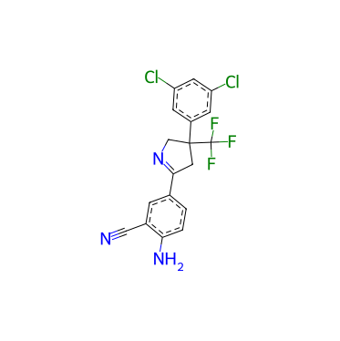 N#Cc1cc(C2=NCC(c3cc(Cl)cc(Cl)c3)(C(F)(F)F)C2)ccc1N